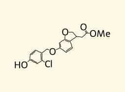 COC(=O)CC1COc2cc(OCc3ccc(O)cc3Cl)ccc21